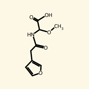 COC(NC(=O)Cc1ccoc1)C(=O)O